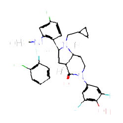 C[C@@]1(c2ccc(Cl)cc2NC=O)[C@@H](c2cccc(Cl)c2F)[C@@H]2C(=O)N(c3cc(F)c(O)c(F)c3)CC[C@@H]2N1CC1CC1